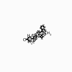 COCC1(n2c(NS(=O)(=O)[C@@H](C)[C@H](OC)c3ncc(Cl)cn3)nnc2-c2cnn3ccccc23)CCC1